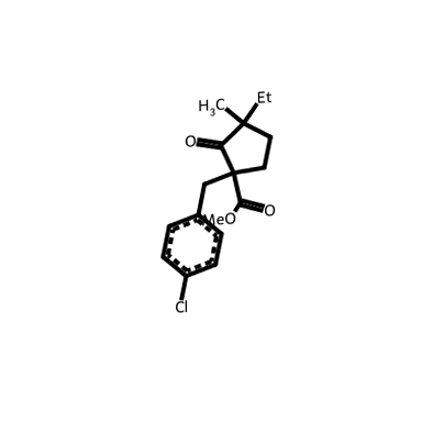 CCC1(C)CCC(Cc2ccc(Cl)cc2)(C(=O)OC)C1=O